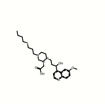 CCCCSCCCN1CC[C@@H](CCC(O)c2ccnc3ccc(OC)cc23)[C@@H](CC(=O)O)C1